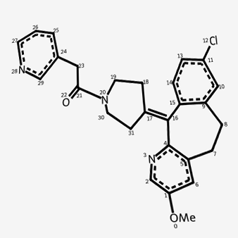 COc1cnc2c(c1)CCc1cc(Cl)ccc1C2=C1CCN(C(=O)Cc2cccnc2)CC1